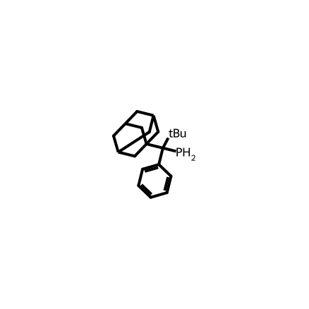 CC(C)(C)C(P)(c1ccccc1)C12CC3CC(CC(C3)C1)C2